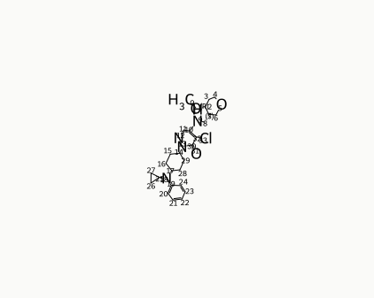 CO[C@@H]1CCOC[C@@H]1CNc1cnn(C2CCC(N(c3ccccc3)C3CC3)CC2)c(=O)c1Cl